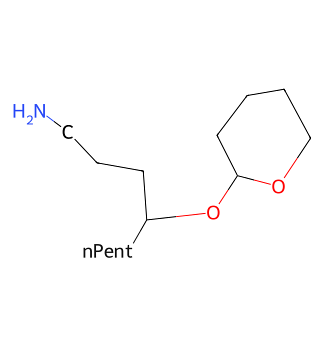 CCCCCC(CCCN)OC1CCCCO1